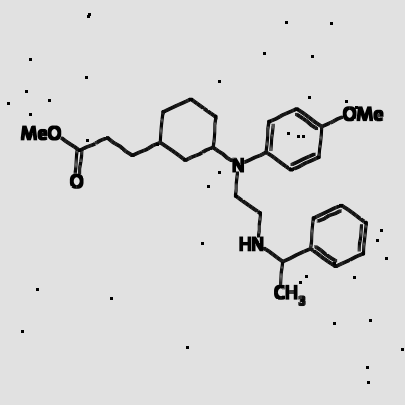 COC(=O)CCC1CCCC(N(CCNC(C)c2ccccc2)c2ccc(OC)cc2)C1